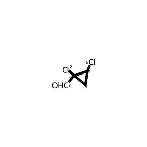 O=CC1(Cl)CC1Cl